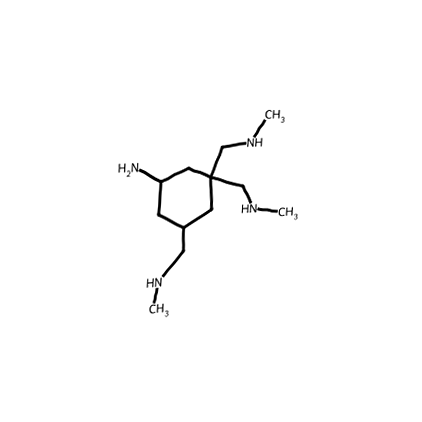 CNCC1CC(N)CC(CNC)(CNC)C1